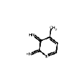 CC1=CC=NC(=N)C1=N